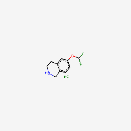 Cl.FC(F)Oc1ccc2c(c1)CCNC2